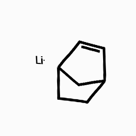 C1=CC2CCC1C2.[Li]